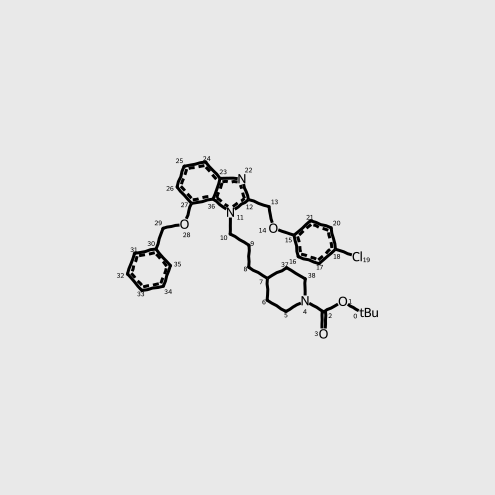 CC(C)(C)OC(=O)N1CCC(CCCn2c(COc3ccc(Cl)cc3)nc3cccc(OCc4ccccc4)c32)CC1